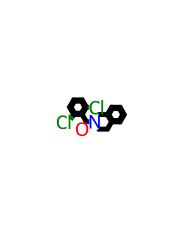 O=C(c1c(Cl)cccc1Cl)N1CCc2ccccc2C1